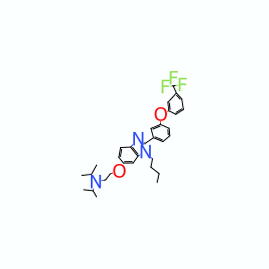 CCCCn1c(-c2cccc(Oc3cccc(C(F)(F)F)c3)c2)nc2ccc(OCCN(C(C)C)C(C)C)cc21